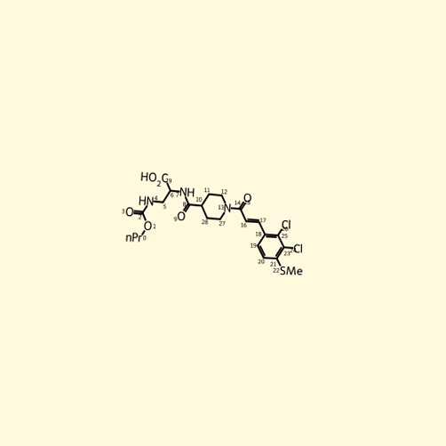 CCCOC(=O)NCC(NC(=O)C1CCN(C(=O)C=Cc2ccc(SC)c(Cl)c2Cl)CC1)C(=O)O